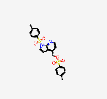 Cc1ccc(S(=O)(=O)OCc2ccnc3c2ccn3S(=O)(=O)c2ccc(C)cc2)cc1